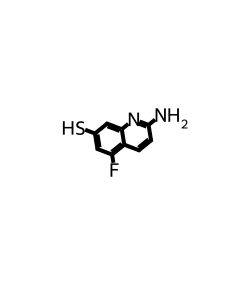 Nc1ccc2c(F)cc(S)cc2n1